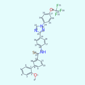 COc1ccccc1-c1cccc(C(=S)Nc2ccc(-c3ncn(-c4ccc(OC(F)(F)F)cc4)n3)cc2)c1